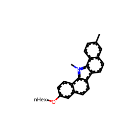 CCCCCCOc1ccc2c(ccc3c4ccc5cc(C)ccc5c4n(C)c23)c1